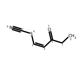 CCC(=O)/C=C\SC#N